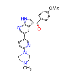 COc1ccc(C(=O)c2c[nH]c3ncc(-c4ccc(N5CCN(C)CC5)nc4)cc23)cc1